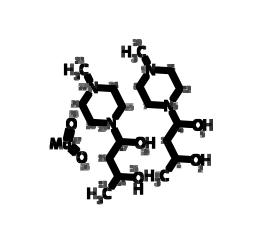 CC(O)CC(O)N1CCN(C)CC1.CC(O)CC(O)N1CCN(C)CC1.[O]=[Mo]=[O]